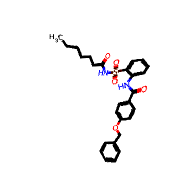 CCCCCCC(=O)NS(=O)(=O)c1ccccc1NC(=O)c1ccc(OCc2ccccc2)cc1